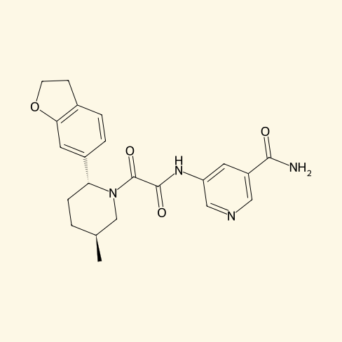 C[C@H]1CC[C@H](c2ccc3c(c2)OCC3)N(C(=O)C(=O)Nc2cncc(C(N)=O)c2)C1